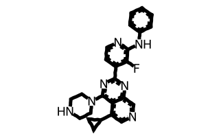 Fc1c(-c2nc(N3CCNCC3)c3c(C4CC4)cncc3n2)ccnc1Nc1ccccc1